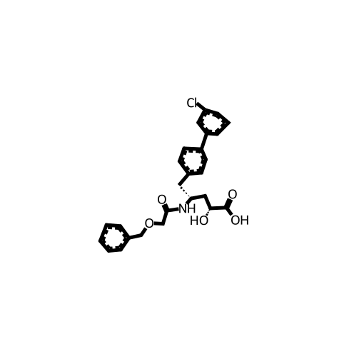 O=C(COCc1ccccc1)N[C@H](Cc1ccc(-c2cccc(Cl)c2)cc1)C[C@@H](O)C(=O)O